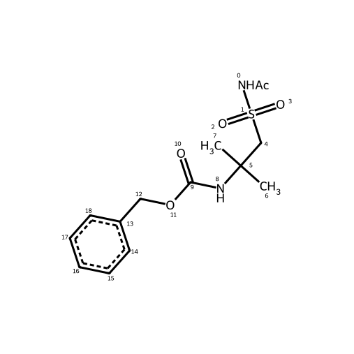 CC(=O)NS(=O)(=O)CC(C)(C)NC(=O)OCc1ccccc1